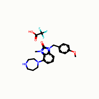 COc1ccc(Cn2c(=O)n(C)c3c(N4CCCNCC4)cccc32)cc1.O=C(O)C(F)(F)F